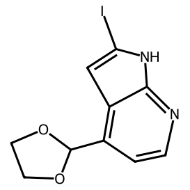 Ic1cc2c(C3OCCO3)ccnc2[nH]1